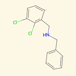 Clc1cc[c]c(CNCc2ccccc2)c1Cl